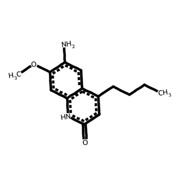 CCCCc1cc(=O)[nH]c2cc(OC)c(N)cc12